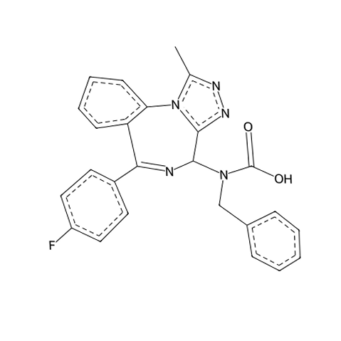 Cc1nnc2n1-c1ccccc1C(c1ccc(F)cc1)=NC2N(Cc1ccccc1)C(=O)O